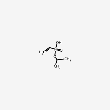 C=CP(=O)(O)OC(C)C